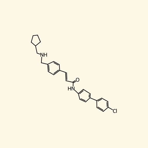 O=C(C=Cc1ccc(CNCC2CCCC2)cc1)Nc1ccc(-c2ccc(Cl)cc2)cc1